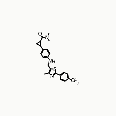 Cc1nc(-c2ccc(C(F)(F)F)cc2)sc1CNc1ccc(C2CC2C(=O)N(C)C)cc1